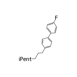 CCCC(C)CCCc1ccc(-c2ccc(F)cc2)cc1